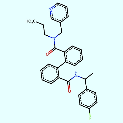 CC(NC(=O)c1ccccc1-c1ccccc1C(=O)N(CCC(=O)O)Cc1cccnc1)c1ccc(F)cc1